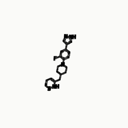 Fc1cc(-c2cn[nH]c2)ccc1N1CCC(CC2=CC=CSN2)CC1